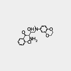 CN(CC(O)C(N)C(=O)c1ccccc1Cl)c1ccc2c(c1)OCCO2